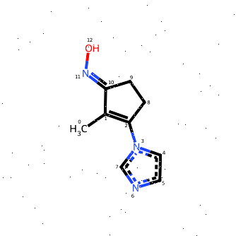 CC1=C(n2ccnc2)CC/C1=N\O